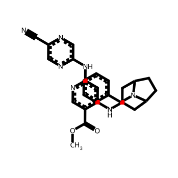 COC(=O)c1cnc(Nc2cnc(C#N)cn2)cc1NC1CC2CCC(C1)N2Cc1ccccc1